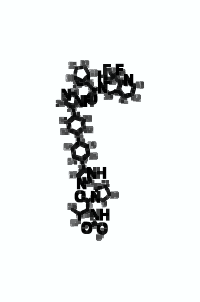 COC(=O)N[C@H](C(=O)N1CCC[C@H]1c1ncc(-c2ccc(-c3ccc(-c4cnc([C@@H]5C6CCC(C6)C5C(=O)NCc5cccnc5C(F)(F)F)[nH]4)cc3)cc2)[nH]1)C(C)C